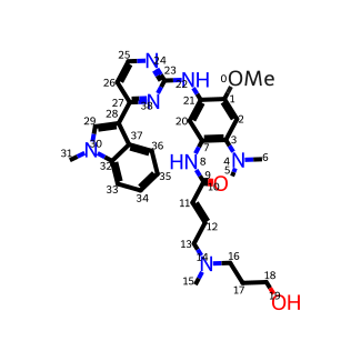 COc1cc(N(C)C)c(NC(=O)/C=C/CN(C)CCCO)cc1Nc1nccc(-c2cn(C)c3ccccc23)n1